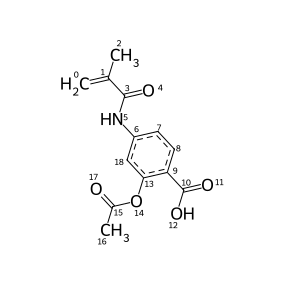 C=C(C)C(=O)Nc1ccc(C(=O)O)c(OC(C)=O)c1